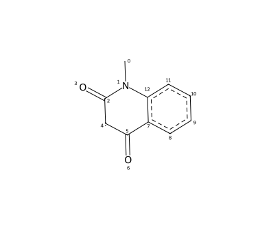 CN1C(=O)[CH]C(=O)c2ccccc21